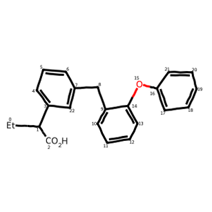 CCC(C(=O)O)c1cccc(Cc2ccccc2Oc2ccccc2)c1